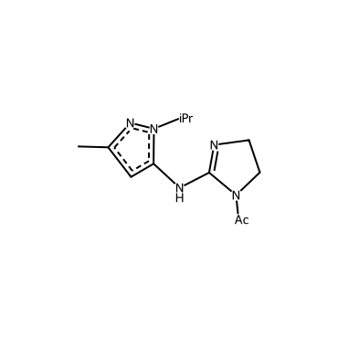 CC(=O)N1CCN=C1Nc1cc(C)nn1C(C)C